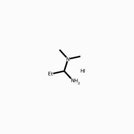 CCC(N)N(C)C.I